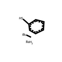 CCC(C)C.Sc1ccccc1.[BaH2]